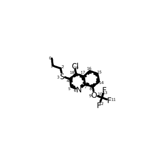 CCCSc1cnc2c(OC(F)(F)F)cccc2c1Cl